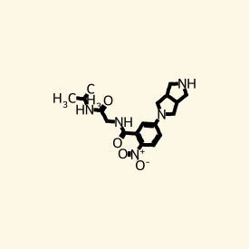 CC(C)NC(=O)CNC(=O)c1cc(N2CC3CNCC3C2)ccc1[N+](=O)[O-]